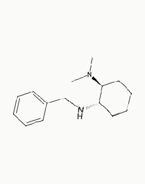 CN(C)[C@H]1CCCC[C@@H]1NCc1ccccc1